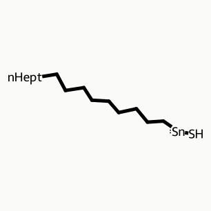 CCCCCCCCCCCCCCC[CH2][Sn][SH]